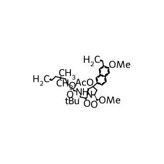 C=CCC(C)(C)CCOC(=O)N[C@H](C(=O)N1CC(OC(C)=O)(c2ccc3cc(OC)c(C=C)cc3c2)C[C@H]1C(=O)OC)C(C)(C)C